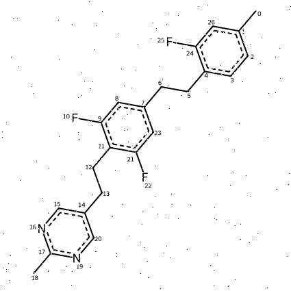 Cc1ccc(CCc2cc(F)c(CCc3cnc(C)nc3)c(F)c2)c(F)c1